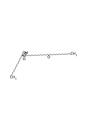 CCCCCCCCCCCCCCCC[C@@H](CO)NC(=O)CCCCCCCCCCCCCCC(=O)CCCCCCCCCCCCCCC